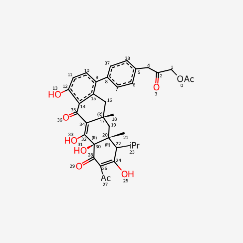 CC(=O)OCC(=O)Cc1ccc(-c2ccc(O)c3c2C[C@]2(C)C[C@]4(C)C(C(C)C)C(O)=C(C(C)=O)C(=O)[C@]4(O)C(O)=C2C3=O)cc1